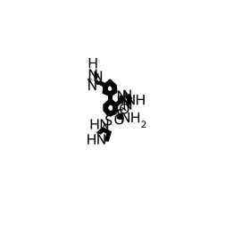 NS(=O)(=O)c1c(SN[C@@H]2CCNC2)ccc(-c2cccc(-c3nc[nH]n3)c2)c1-c1nn[nH]n1